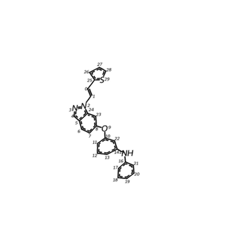 C(=Cn1ncc2ccc(Oc3cccc(Nc4ccccc4)c3)cc21)c1cccs1